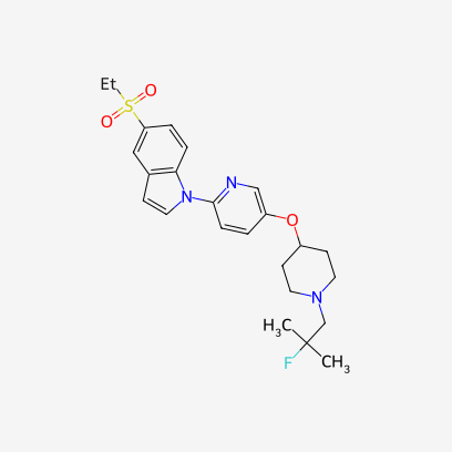 CCS(=O)(=O)c1ccc2c(ccn2-c2ccc(OC3CCN(CC(C)(C)F)CC3)cn2)c1